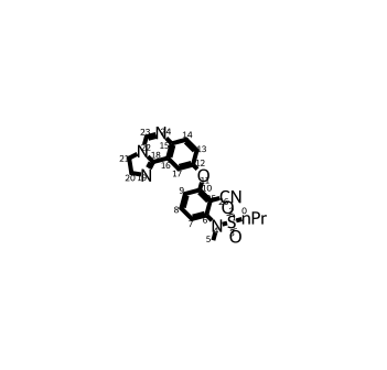 CCCS(=O)(=O)N(C)c1cccc(Oc2ccc3c(c2)C2=NCCN2C=N3)c1C#N